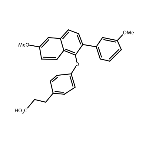 COc1cccc(-c2ccc3cc(OC)ccc3c2Oc2ccc(CCC(=O)O)cc2)c1